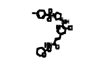 Cc1ccc(S(=O)(=O)N2CC[C@@H](Nc3ncc(C=CC(=O)NOC4CCCCO4)cc3Cl)C2)cc1